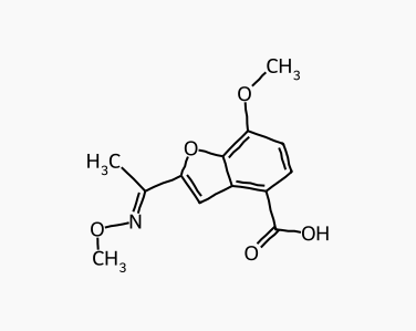 CON=C(C)c1cc2c(C(=O)O)ccc(OC)c2o1